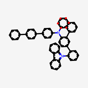 c1ccc(-c2ccc(-c3ccc(N(c4ccccc4)c4ccc(-c5ccccc5-n5c6ccccc6c6ccccc65)cc4-c4cccc5ccccc45)cc3)cc2)cc1